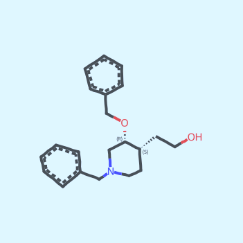 OCC[C@@H]1CCN(Cc2ccccc2)C[C@@H]1OCc1ccccc1